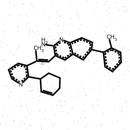 C/C(=C\c1cc2cc(-c3ccccc3C)ccc2nc1N)c1cccnc1C1C=CCCC1